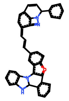 C1=CC(c2ccccc2)N2N=c3c2c1cc/c3=C/C=C/c1ccc2oc3c(c2c1)N1c2ccccc2NC1c1ccccc1-3